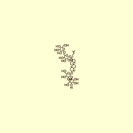 CC(C)=CCCC(C)(OC1OC(COC2OC(CO)C(O)C(O)C2O)C(O)C(O)C1O)C1CCC2(C)C1CCC1C3(C)CCC(OC4OC(CO)C(O)C(O)C4OC4OC(CO)C(O)C(O)C4O)C(C)(C)C3CCC12C